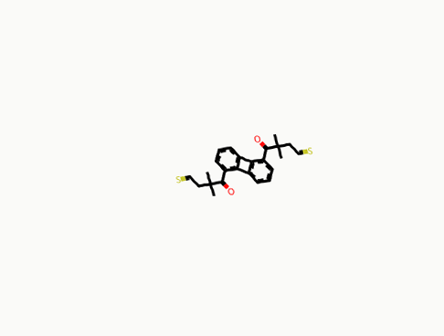 CC(C)(CC=S)C(=O)c1cccc2c1-c1cccc(C(=O)C(C)(C)CC=S)c1-2